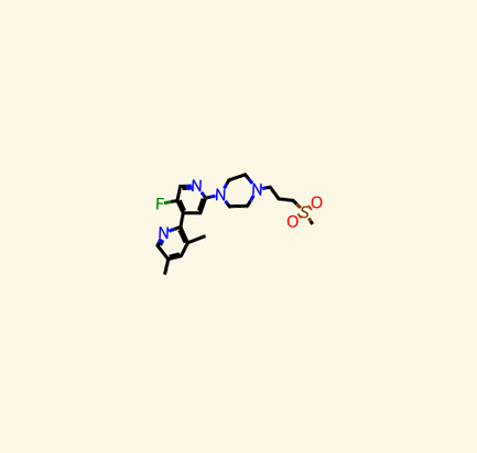 Cc1cnc(-c2cc(N3CCN(CCCS(C)(=O)=O)CC3)ncc2F)c(C)c1